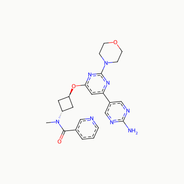 CN(C(=O)c1cccnc1)[C@H]1C[C@H](Oc2cc(-c3cnc(N)nc3)nc(N3CCOCC3)n2)C1